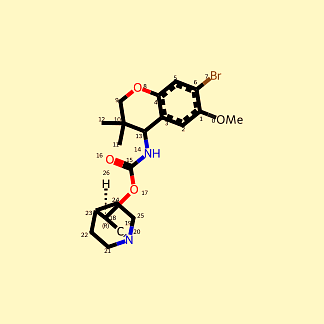 COc1cc2c(cc1Br)OCC(C)(C)C2NC(=O)O[C@H]1CN2CCC1CC2